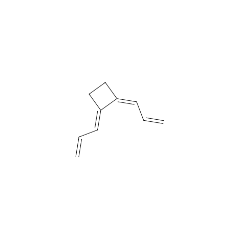 C=CC=C1CCC1=CC=C